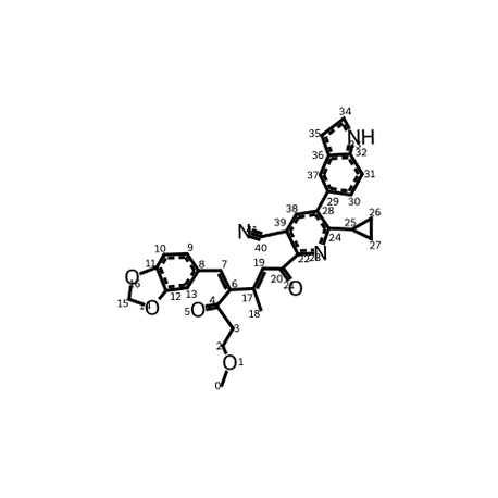 COCCC(=O)C(=Cc1ccc2c(c1)OCO2)C(C)=CC(=O)c1nc(C2CC2)c(-c2ccc3[nH]ccc3c2)cc1C#N